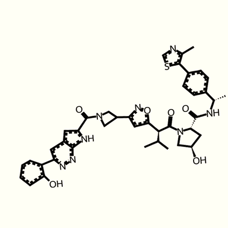 Cc1ncsc1-c1ccc([C@H](C)NC(=O)[C@@H]2C[C@@H](O)CN2C(=O)[C@H](c2cc(C3CN(C(=O)c4cc5cc(-c6ccccc6O)nnc5[nH]4)C3)no2)C(C)C)cc1